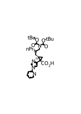 CCC[C@H](C[C@H]1C[C@]1(C(=O)O)c1cn(-c2ccccn2)cn1)CN(C(=O)OC(C)(C)C)C(=O)OC(C)(C)C